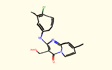 Cc1ccn2c(=O)c(CO)c(Nc3ccc(Cl)c(C)c3)nc2c1